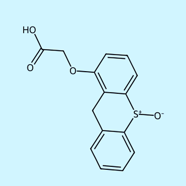 O=C(O)COc1cccc2c1Cc1ccccc1[S+]2[O-]